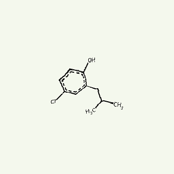 CC(C)Cc1cc(Cl)ccc1O